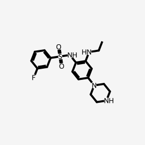 CCNc1cc(N2CCNCC2)ccc1NS(=O)(=O)c1cccc(F)c1